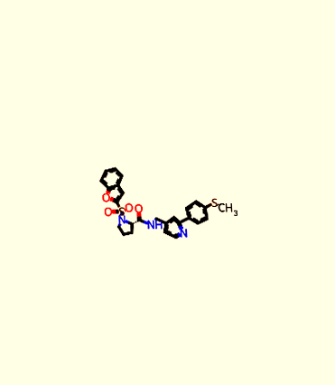 CSc1ccc(-c2cc(CNC(=O)[C@@H]3CCCN3S(=O)(=O)c3cc4ccccc4o3)ccn2)cc1